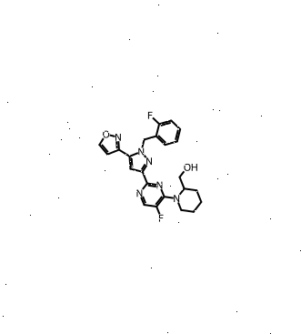 OCC1CCCCN1c1nc(-c2cc(-c3ccon3)n(Cc3ccccc3F)n2)ncc1F